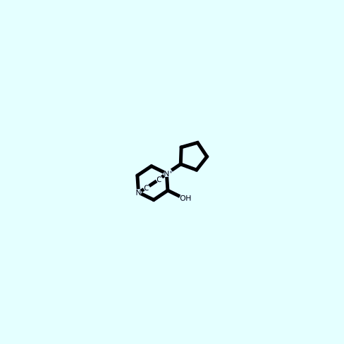 OC1CN2CC[N+]1(C1CCCC1)CC2